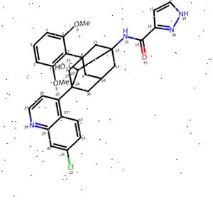 COc1cccc(OC)c1C12CC3CC(NC(=O)c4cc[nH]n4)(C1)C(C(=O)O)C(c1ccnc4cc(Cl)ccc14)(C3)C2